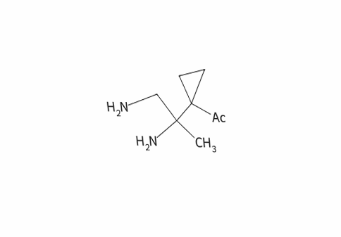 CC(=O)C1(C(C)(N)CN)CC1